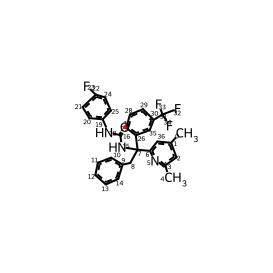 Cc1cc(C)nc(C(Cc2ccccc2)(NC(=O)Nc2ccc(F)cc2)c2cccc(C(F)(F)F)c2)c1